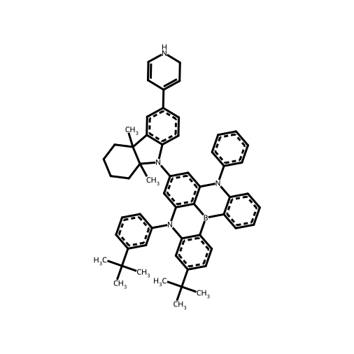 CC(C)(C)c1cccc(N2c3cc(C(C)(C)C)ccc3B3c4ccccc4N(c4ccccc4)c4cc(N5c6ccc(C7=CCNC=C7)cc6C6(C)CCCCC56C)cc2c43)c1